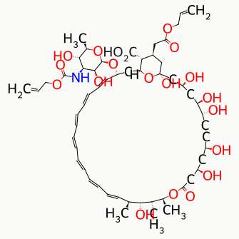 C=CCOC(=O)C[C@H]1C[C@@]2(O)C[C@@H](O)C[C@@H](O)[C@H](O)CC[C@@H](O)C[C@@H](O)CC(=O)O[C@@H](C)[C@H](C)[C@H](O)[C@@H](C)/C=C/C=C/C=C/C=C/C=C/C=C/C=C/[C@H](O[C@@H]3O[C@H](C)[C@@H](O)[C@H](NC(=O)OCC=C)[C@@H]3O)C[C@H](O2)[C@@H]1C(=O)O